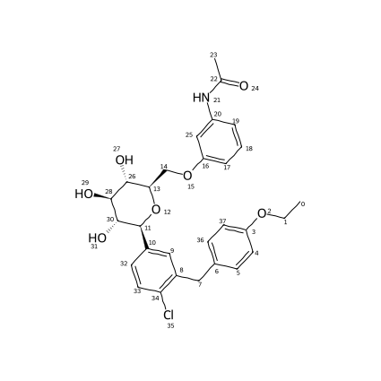 CCOc1ccc(Cc2cc([C@@H]3O[C@H](COc4cccc(NC(C)=O)c4)[C@@H](O)[C@H](O)[C@H]3O)ccc2Cl)cc1